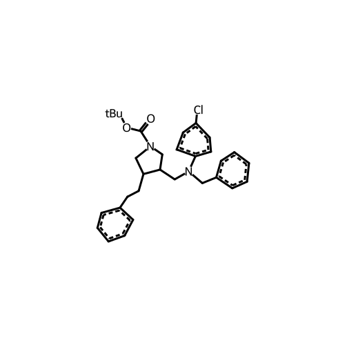 CC(C)(C)OC(=O)N1CC(CCc2ccccc2)C(CN(Cc2ccccc2)c2ccc(Cl)cc2)C1